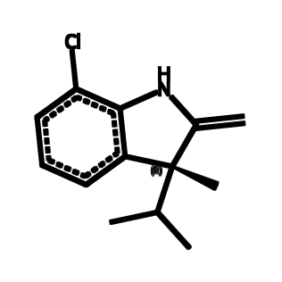 C=C1Nc2c(Cl)cccc2[C@@]1(C)C(C)C